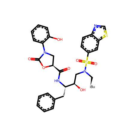 CC[C@H](C)CN(C[C@@H](O)[C@H](Cc1ccccc1)NC(=O)[C@@H]1CN(c2ccccc2O)C(=O)O1)S(=O)(=O)c1ccc2ncsc2c1